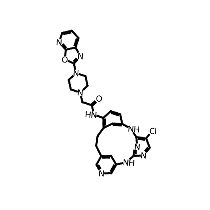 O=C(CN1CCN(c2nc3cccnc3o2)CC1)Nc1ccc2cc1CCc1cncc(c1)Nc1ncc(Cl)c(n1)N2